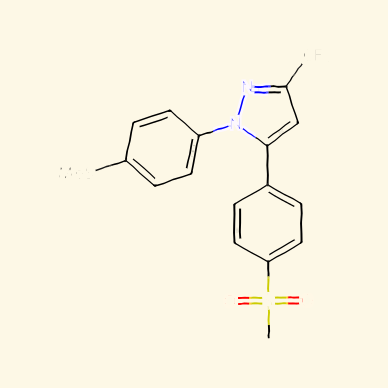 CSc1ccc(-n2nc(C(F)(F)F)cc2-c2ccc(S(C)(=O)=O)cc2)cc1